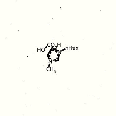 CCCCCCn1cc[n+](C)c1.O=C(O)O